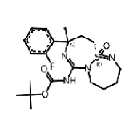 CC(C)(C)OC(=O)NC1=N[C@](C)(c2ccccc2F)CC[S@]2(=O)=NCCCCN12